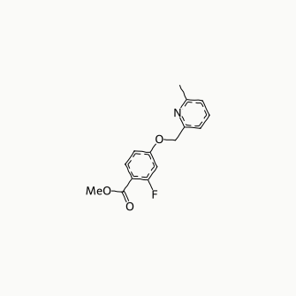 COC(=O)c1ccc(OCc2cccc(C)n2)cc1F